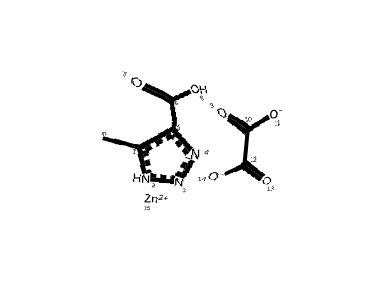 Cc1[nH]nnc1C(=O)O.O=C([O-])C(=O)[O-].[Zn+2]